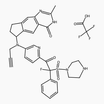 C#CCN(c1ccc(C(=O)C(F)(c2ccccc2)S(=O)(=O)N2CCNCC2)nc1)C1CCc2cc3nc(C)[nH]c(=O)c3cc21.O=C(O)C(F)(F)F